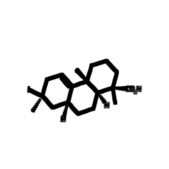 C[C@]1(I)CC=C2[C@@H](CC[C@@H]3[C@](C)(C(=O)O)CCC[C@@]23C)C1